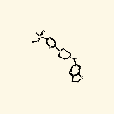 CN=S(C)(=O)c1ccc(N2CCN([C@H](C)c3ccc4c(c3)OCC4)CC2)nc1